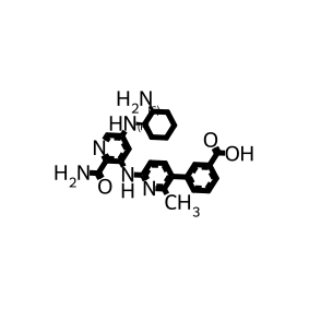 Cc1nc(Nc2cc(N[C@@H]3CCCC[C@@H]3N)cnc2C(N)=O)ccc1-c1cccc(C(=O)O)c1